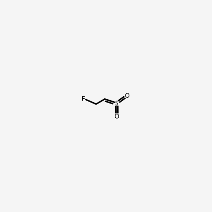 O=S(=O)=CCF